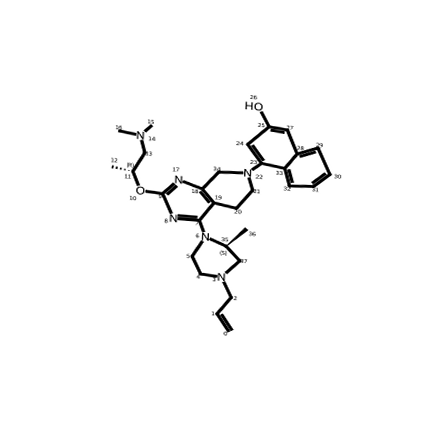 C=CCN1CCN(c2nc(O[C@H](C)CN(C)C)nc3c2CCN(c2cc(O)cc4ccccc24)C3)[C@@H](C)C1